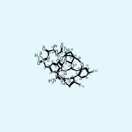 CNCC(=O)N[C@@H](CC(N)=O)C(=O)N1CCC[C@H]1C(=O)N[C@H](C(=O)N=[S@](C)(=O)Cc1cc2cc(c1)O[C@H](C)CCOc1cc(F)ccc1-c1nc(ncc1F)N2)C(C)C